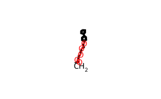 C=CC(=O)OCCOCCOCCOc1ccc(-c2ccccc2)cc1